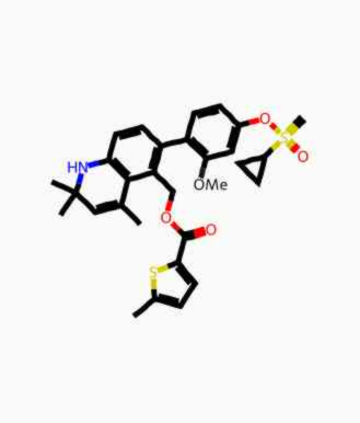 C=S(=O)(Oc1ccc(-c2ccc3c(c2COC(=O)c2ccc(C)s2)C(C)=CC(C)(C)N3)c(OC)c1)C1CC1